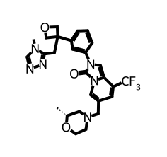 C[C@@H]1CN(Cc2cc(C(F)(F)F)c3cn(-c4cccc(C5(Cc6nncn6C)COC5)c4)c(=O)n3c2)CCO1